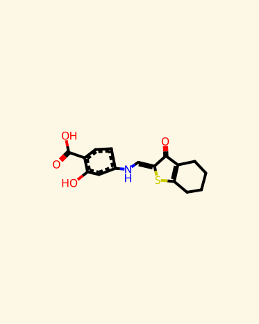 O=C1C2=C(CCCC2)S/C1=C\Nc1ccc(C(=O)O)c(O)c1